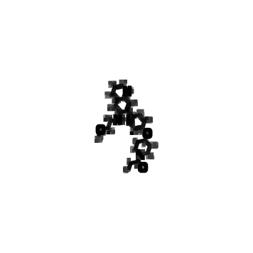 CCC(=O)N1CCC(Oc2ccc(-c3cc4ncccc4cc3NCCOC)cc2)CC1